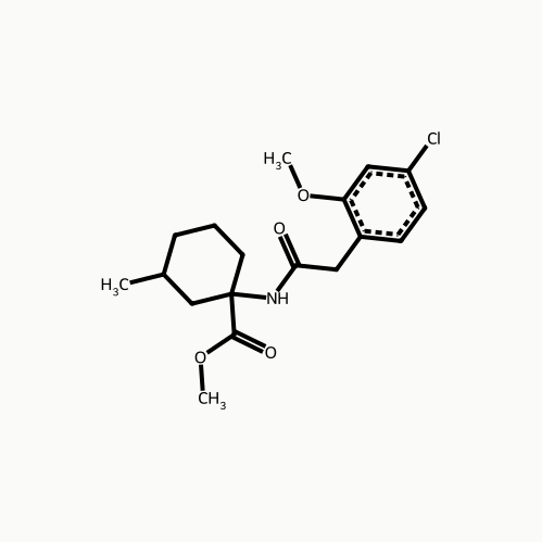 COC(=O)C1(NC(=O)Cc2ccc(Cl)cc2OC)CCCC(C)C1